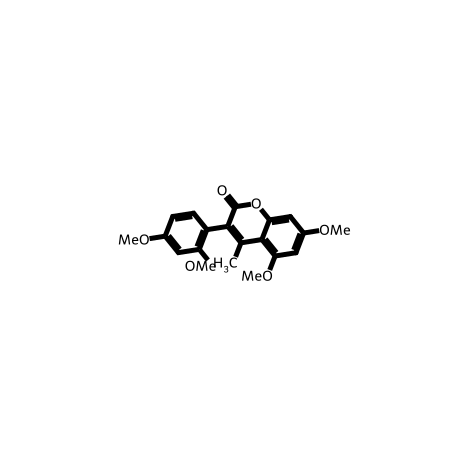 COc1ccc(-c2c(C)c3c(OC)cc(OC)cc3oc2=O)c(OC)c1